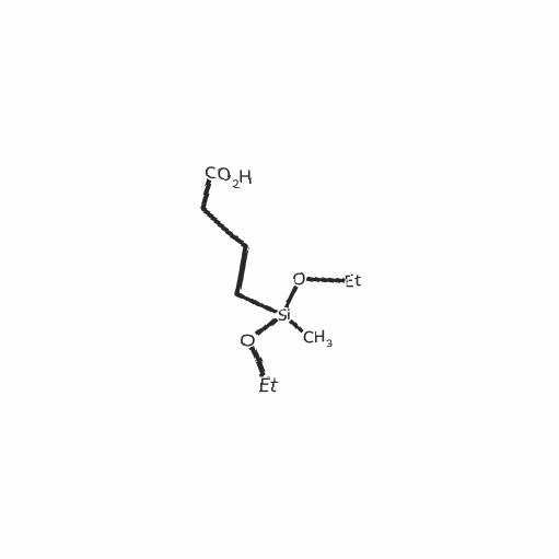 CCO[Si](C)(CCCC(=O)O)OCC